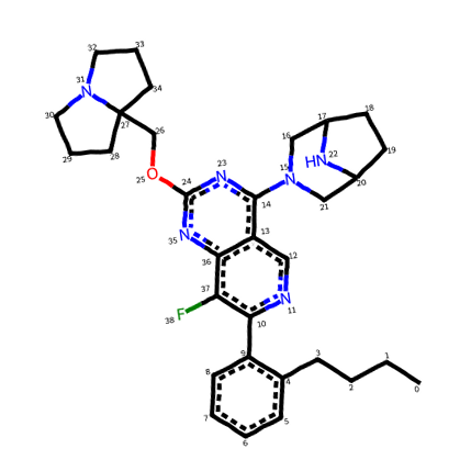 CCCCc1ccccc1-c1ncc2c(N3CC4CCC(C3)N4)nc(OCC34CCCN3CCC4)nc2c1F